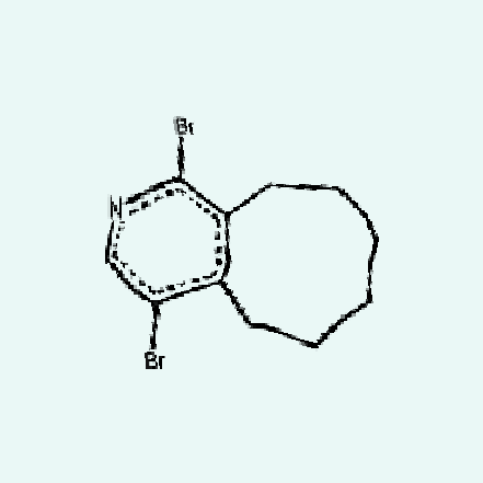 Brc1cnc(Br)c2c1CCCCCC2